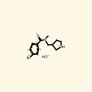 CN(CC1CCNC1)C(=O)c1ccc(Br)cc1.Cl